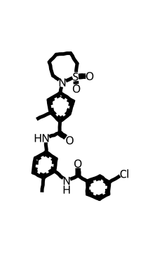 Cc1ccc(NC(=O)c2ccc(N3CCCCCS3(=O)=O)cc2C)cc1NC(=O)c1cccc(Cl)c1